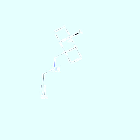 C#CCNCC12CCC1[C@H]1CCC12